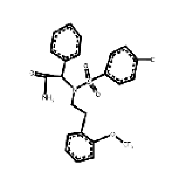 NC(=O)C(c1ccccc1)N(CCc1ccccc1OC(F)(F)F)S(=O)(=O)c1ccc(Cl)cc1